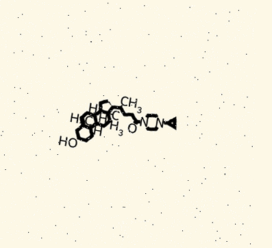 C[C@H](CCC(=O)N1CCN(C2CC2)CC1)[C@H]1CC[C@H]2[C@@H]3CC=C4C[C@@H](O)CC[C@]4(C)[C@H]3CC[C@]12C